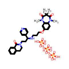 CN1C(=O)C(C)(C)C(=O)N(C)c2cc(OCCCNC(CCN3CCc4ccccc4C3=O)c3ccncc3)ccc21.O=P(O)(O)O.O=P(O)(O)O.O=P(O)(O)O